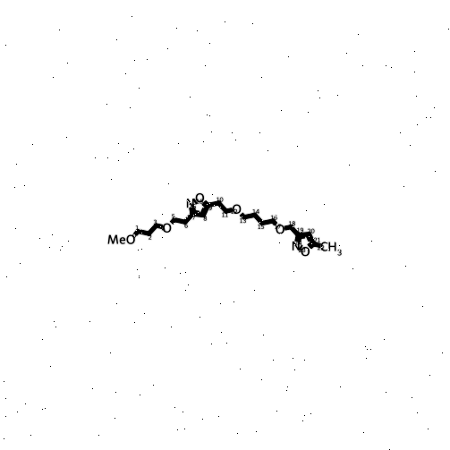 COCCCOCCc1cc(CCOCCCCOCc2cc(C)on2)on1